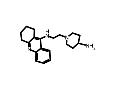 NC1CCN(CCNc2c3c(nc4ccccc24)CCCC3)CC1